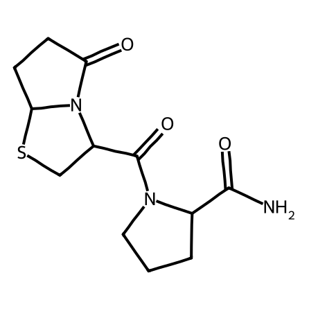 NC(=O)C1CCCN1C(=O)C1CSC2CCC(=O)N21